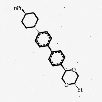 CCC[C@H]1CC[C@H](c2ccc(-c3ccc([C@@H]4CO[C@@H](CC)CO4)cc3)cc2)CC1